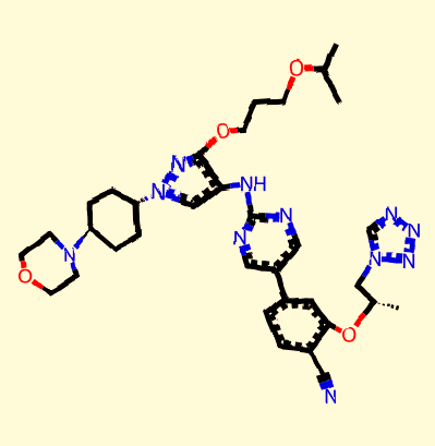 CC(C)OCCCOc1nn([C@H]2CC[C@H](N3CCOCC3)CC2)cc1Nc1ncc(-c2ccc(C#N)c(O[C@@H](C)Cn3cnnn3)c2)cn1